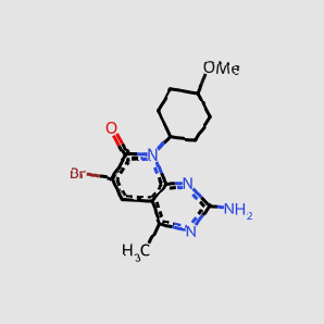 COC1CCC(n2c(=O)c(Br)cc3c(C)nc(N)nc32)CC1